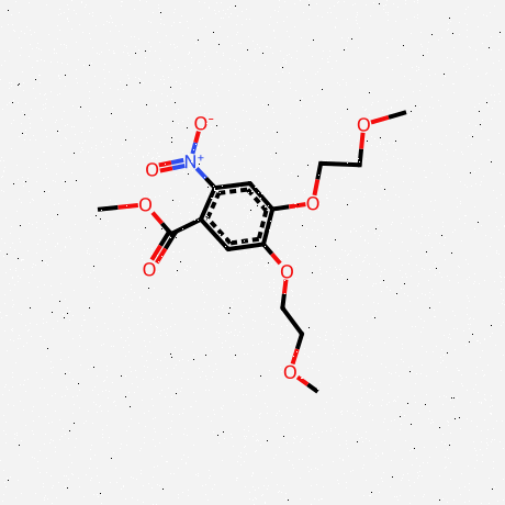 COCCOc1cc(C(=O)OC)c([N+](=O)[O-])cc1OCCOC